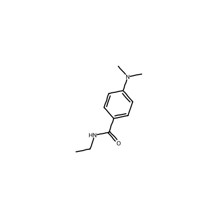 CCNC(=O)c1ccc(N(C)C)cc1